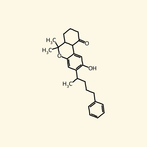 CC(CCCc1ccccc1)c1cc2c(cc1O)C1C(=O)CCCC1C(C)(C)O2